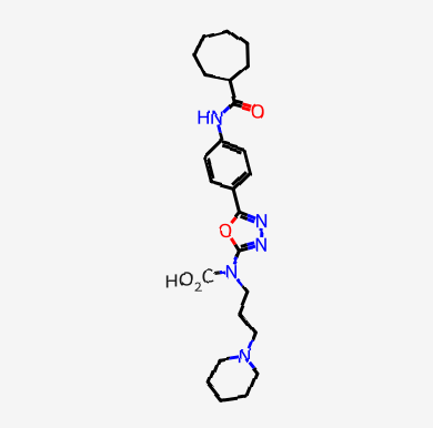 O=C(Nc1ccc(-c2nnc(N(CCCN3CCCCC3)C(=O)O)o2)cc1)C1CCCCCC1